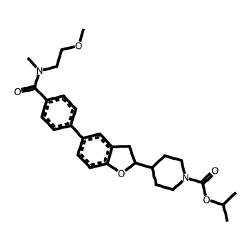 COCCN(C)C(=O)c1ccc(-c2ccc3c(c2)CC(C2CCN(C(=O)OC(C)C)CC2)O3)cc1